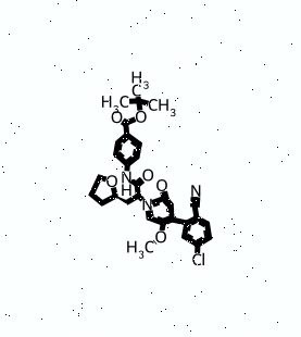 COc1cn(C(C[C@H]2CCCO2)C(=O)Nc2ccc(C(=O)OC(C)(C)C)cc2)c(=O)cc1-c1cc(Cl)ccc1C#N